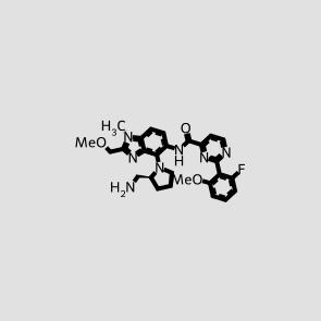 COCc1nc2c(N3CCC[C@H]3CN)c(NC(=O)c3ccnc(-c4c(F)cccc4OC)n3)ccc2n1C